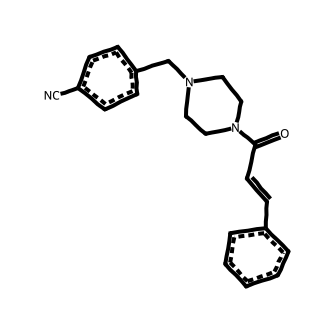 N#Cc1ccc(CN2CCN(C(=O)C=Cc3ccccc3)CC2)cc1